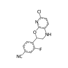 N#Cc1ccc(C2CNc3ccc(Cl)nc3O2)c(F)c1